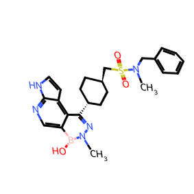 CN1N=C([C@H]2CC[C@H](CS(=O)(=O)N(C)Cc3ccccc3)CC2)c2c(cnc3[nH]ccc23)B1O